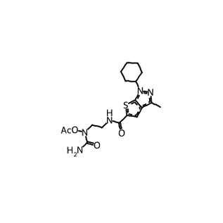 CC(=O)ON(CCNC(=O)c1cc2c(C)nn(C3CCCCC3)c2s1)C(N)=O